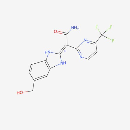 NC(=O)/C(=C1\Nc2ccc(CO)cc2N1)c1nccc(C(F)(F)F)n1